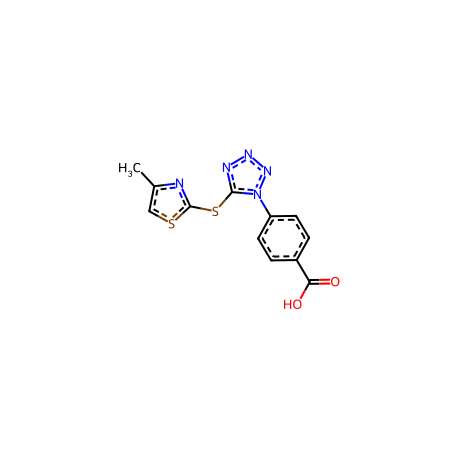 Cc1csc(Sc2nnnn2-c2ccc(C(=O)O)cc2)n1